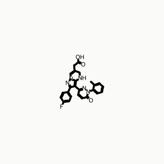 Cc1ccccc1-n1nc(-c2c(-c3ccc(F)cc3)nn3c2NCC(CC(=O)O)=C3)ccc1=O